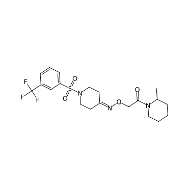 CC1CCCCN1C(=O)CON=C1CCN(S(=O)(=O)c2cccc(C(F)(F)F)c2)CC1